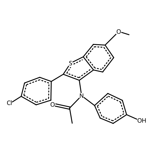 COc1ccc2c(N(C(C)=O)c3ccc(O)cc3)c(-c3ccc(Cl)cc3)sc2c1